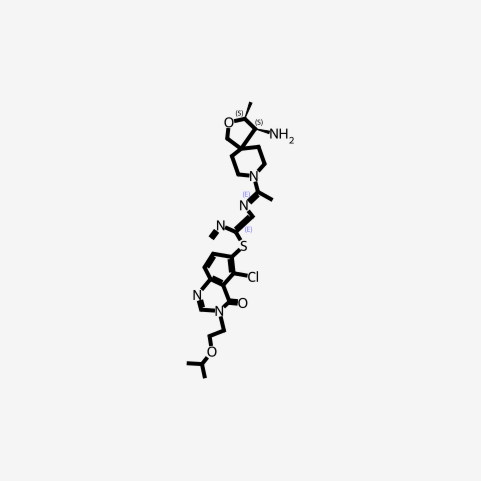 C=N/C(=C\N=C(/C)N1CCC2(CC1)CO[C@@H](C)[C@H]2N)Sc1ccc2ncn(CCOC(C)C)c(=O)c2c1Cl